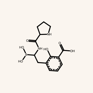 O=C(O)c1cccc(CC(NC(=O)C2CCCN2)B(O)O)c1O